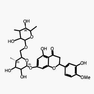 COc1ccc(C2CC(=O)c3c(O)cc(O[C@@H]4OC(COC5OC(C)[C@H](O)C(C)C5O)[C@@H](C)C(O)C4O)cc3O2)cc1O